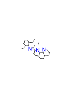 CCC/C(=N\c1c(CC)cccc1CC)c1ccc2ccc3cccnc3c2n1